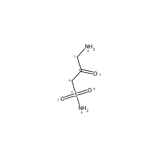 NCC(=O)CS(N)(=O)=O